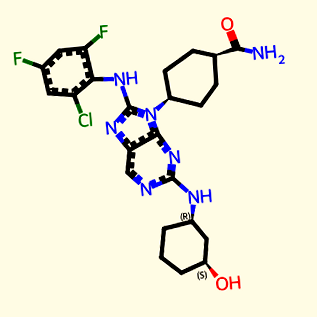 NC(=O)[C@H]1CC[C@@H](n2c(Nc3c(F)cc(F)cc3Cl)nc3cnc(N[C@@H]4CCC[C@H](O)C4)nc32)CC1